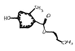 CCCOC(=O)c1ccc(O)cc1C